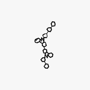 C1=CC(c2ccc(-c3ccccc3)cc2)CC=C1n1c2ccccc2c2cc(-c3ccc4c(c3)c3ccccc3n4-c3cccc(-c4ccccc4)c3)ccc21